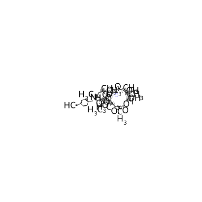 C#Cc1ccc(CN(C)[C@H]2C[C@@H](C)O[C@@H](O[C@@H]3[C@@H](C)C(=O)[C@@H](C)C(=O)O[C@H](I)[C@@](C)(O)[C@H](O)[C@@H](C)C(=O)/C=C/[C@@]3(C)OC)[C@H]2OC(C)=O)cc1